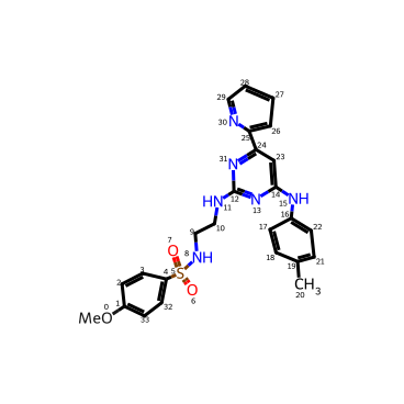 COc1ccc(S(=O)(=O)NCCNc2nc(Nc3ccc(C)cc3)cc(-c3ccccn3)n2)cc1